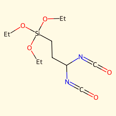 CCO[Si](CCC(N=C=O)N=C=O)(OCC)OCC